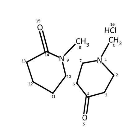 CN1CCC(=O)CC1.CN1CCCCC1=O.Cl